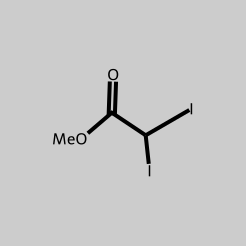 COC(=O)C(I)I